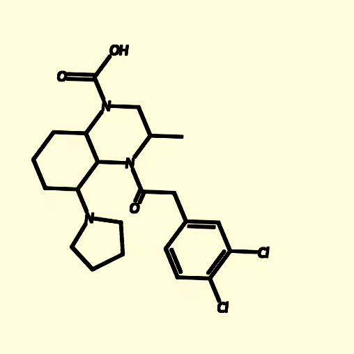 CC1CN(C(=O)O)C2CCCC(N3CCCC3)C2N1C(=O)Cc1ccc(Cl)c(Cl)c1